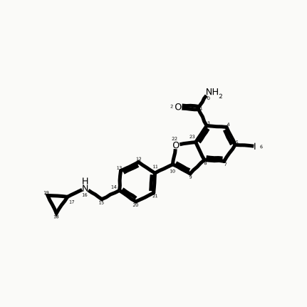 NC(=O)c1cc(I)cc2cc(-c3ccc(CNC4CC4)cc3)oc12